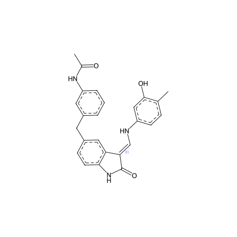 CC(=O)Nc1cccc(Cc2ccc3c(c2)/C(=C\Nc2ccc(C)c(O)c2)C(=O)N3)c1